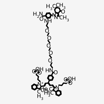 Cc1nn(-c2ccc(C(N)=O)c(NCCCOCCOCCOCCOCCOCCCNC(=O)c3ccc(C(=C\C=C4\N(CCCCS(=O)(=O)O)c5ccccc5C4(C)C)/C=C/C4=[N+](CCCCS(=O)(=O)O)c5ccccc5C4(C)C)cc3)c2)c2c1C(=O)CC(C)(C)C2